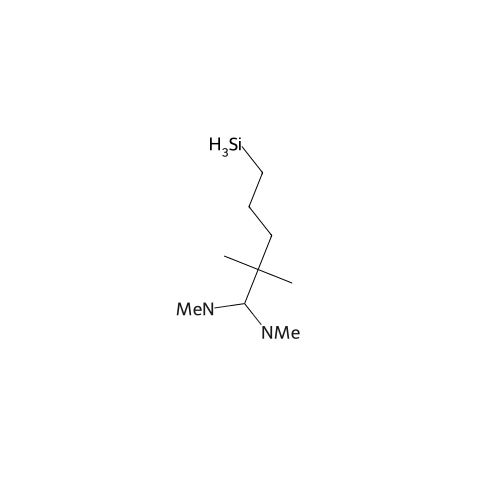 CNC(NC)C(C)(C)CCC[SiH3]